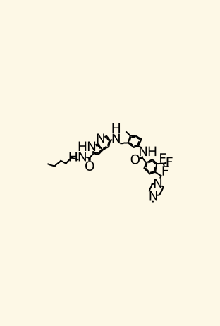 CCCCCCNC(=O)c1cc2cc(NCc3cc(NC(=O)c4ccc(CN5CCN(C)CC5)c(C(F)(F)F)c4)ccc3C)cnc2[nH]1